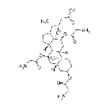 C[C@H](CCC(=O)O)C1CC[C@H]2C3[C@H](OC(=O)CN)C[C@H]4C[C@H](OC(=O)CN)CC[C@]4(C)[C@H]3C[C@H](OC(=O)CN)[C@]12C